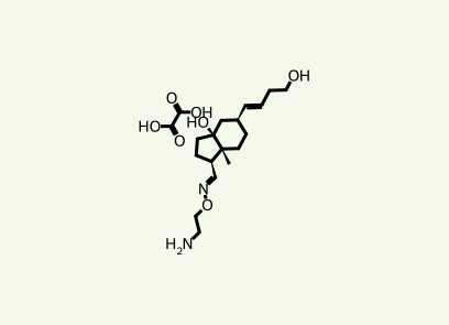 C[C@]12CC[C@H](/C=C/CCO)C[C@@]1(O)CC[C@@H]2/C=N/OCCN.O=C(O)C(=O)O